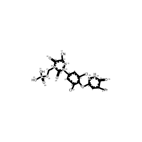 CC(C)c1cc(Oc2c(Cl)cc(-n3nc(C#N)c(=O)n(COP(=O)(O)O)c3=O)cc2Cl)n[nH]c1=O